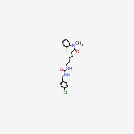 CN(C(=O)CCCCCNC(=O)NCc1ccc(Cl)cc1)c1ccccc1F